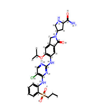 CCCS(=O)(=O)c1ccccc1Nc1nc(Nc2cc3c(cc2OC(C)C)CN(C2CNC(C(N)=O)C2)C3=O)ncc1Cl